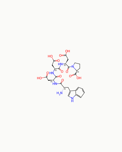 N[C@@H](Cc1c[nH]c2ccccc12)C(=O)N[C@@H](CC(=O)O)C(=O)N[C@@H](CC(=O)O)C(=O)N[C@@H](CC(=O)O)C(=O)N1CCC[C@H]1C(=O)O